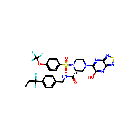 CCC(F)(F)c1ccc(CNC(=O)[C@H]2CN(c3nc4nsnc4nc3O)CCN2S(=O)(=O)c2ccc(OC(F)(F)F)cc2)cc1